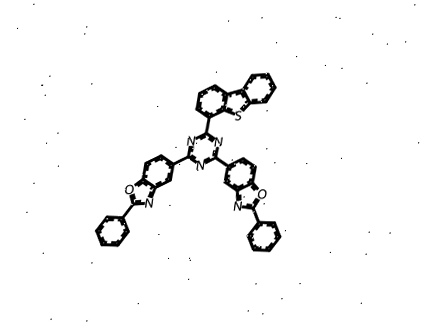 c1ccc(-c2nc3cc(-c4nc(-c5ccc6oc(-c7ccccc7)nc6c5)nc(-c5cccc6c5sc5ccccc56)n4)ccc3o2)cc1